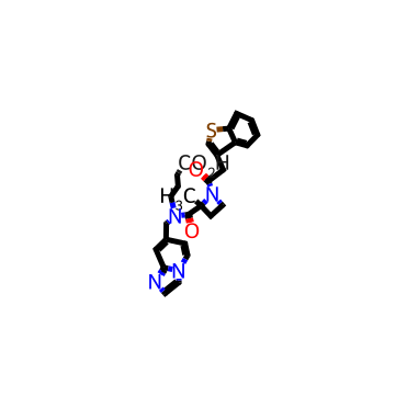 CC1(C(=O)N(CCCC(=O)O)Cc2ccn3ccnc3c2)CCN1C(=O)Cc1csc2ccccc12